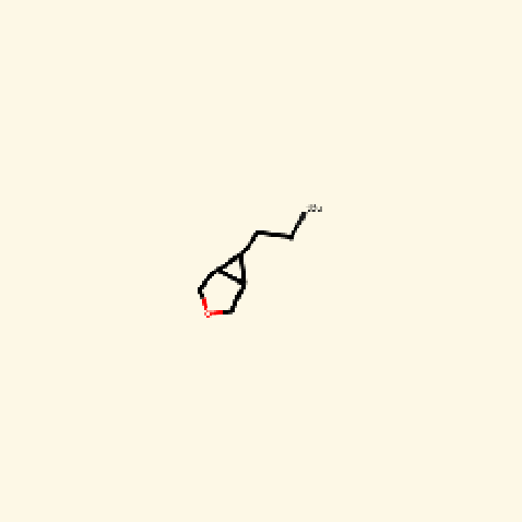 CC(C)(C)CCC1C2COCC12